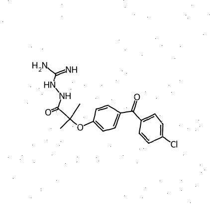 CC(C)(Oc1ccc(C(=O)c2ccc(Cl)cc2)cc1)C(=O)NNC(=N)N